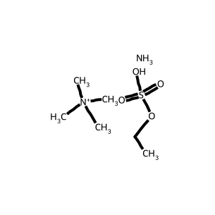 CCOS(=O)(=O)O.C[N+](C)(C)C.N